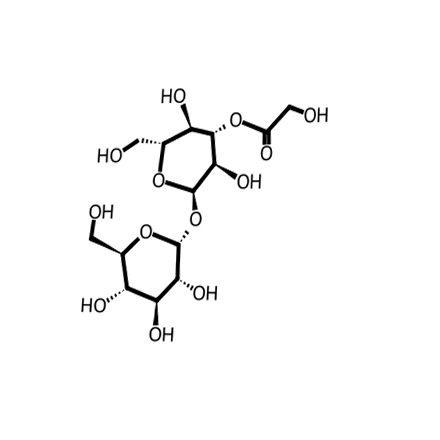 O=C(CO)O[C@@H]1[C@@H](O)[C@@H](O[C@H]2O[C@H](CO)[C@@H](O)[C@H](O)[C@H]2O)O[C@H](CO)[C@H]1O